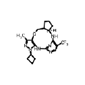 Cc1nn(C2CCC2)c2c1OCC1CCC[C@H]1Nc1nc(ncc1C(F)(F)F)N2